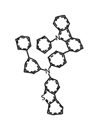 c1ccc(-c2cccc(N(c3ccc(-c4cccc5c6ccccc6n(-c6ccccc6)c45)cc3)c3ccc4c(c3)sc3ccccc34)c2)cc1